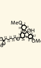 COc1ccc(C(O)(c2ccc(OC)cc2)c2ccc(OCCCCCC(=O)OC(C)(C)C)cc2)cc1